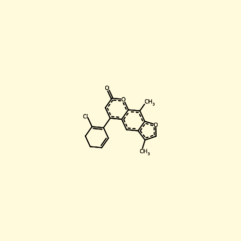 Cc1coc2c(C)c3oc(=O)cc(C4=C(Cl)CCC=C4)c3cc12